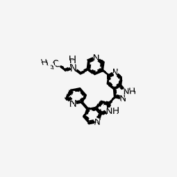 CCNCc1cncc(-c2cc3c(-c4cc5c(-c6ccccn6)ccnc5[nH]4)n[nH]c3cn2)c1